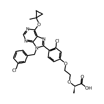 C[C@@H](OCCOc1ccc(-c2nc3c(OC4(C)CC4)ncnc3n2Cc2cccc(Cl)c2)c(Cl)c1)C(=O)O